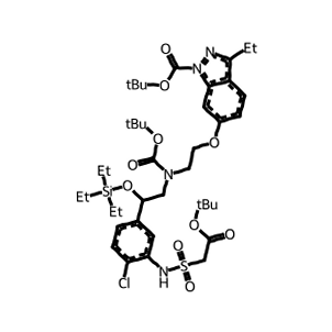 CCc1nn(C(=O)OC(C)(C)C)c2cc(OCCN(CC(O[Si](CC)(CC)CC)c3ccc(Cl)c(NS(=O)(=O)CC(=O)OC(C)(C)C)c3)C(=O)OC(C)(C)C)ccc12